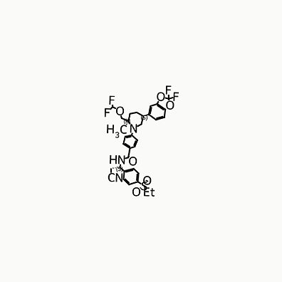 CCS(=O)(=O)c1ccc([C@H](CC#N)NC(=O)c2ccc(N3C[C@H](c4ccc5c(c4)OC(F)(F)O5)CC[C@]3(C)COC(F)F)cc2)cc1